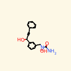 NC(=O)N(O)Cc1cccc(C(O)C#Cc2ccccc2)c1